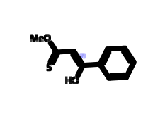 COC(=S)/C=C(\O)c1ccccc1